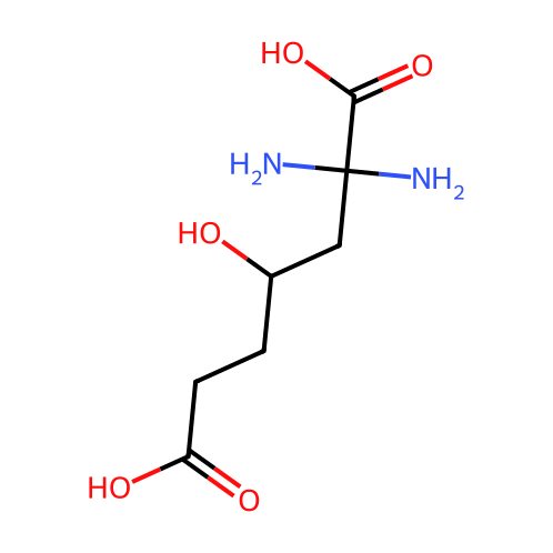 NC(N)(CC(O)CCC(=O)O)C(=O)O